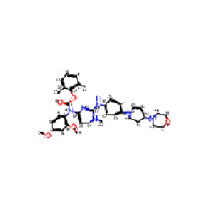 COc1ccc(N(C(=O)Oc2c(C)cccc2C)C2=CCN(C)C(Nc3ccc(N4CCC(N5CCOCC5)CC4)cc3)=N2)c(OC)c1